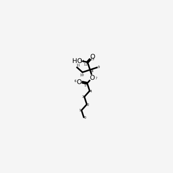 CCCCCC(=O)OC(C)(CC)C(=O)O